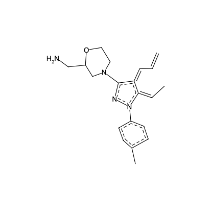 C=C/C=c1/c(N2CCOC(CN)C2)nn(-c2ccc(C)cc2)/c1=C/C